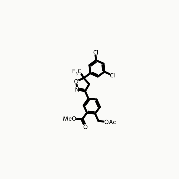 COC(=O)c1cc(C2=NOC(c3cc(Cl)cc(Cl)c3)(C(F)(F)F)C2)ccc1COC(C)=O